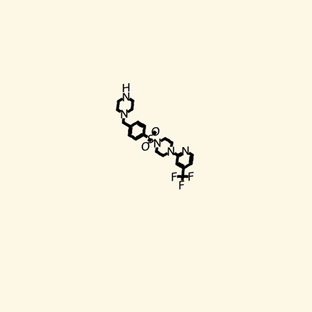 O=S(=O)(c1ccc(CN2CCNCC2)cc1)N1CCN(c2cc(C(F)(F)F)ccn2)CC1